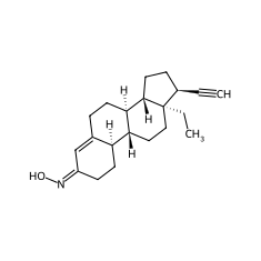 C#C[C@@H]1CC[C@H]2[C@@H]3CCC4=C/C(=N\O)CC[C@@H]4[C@H]3CC[C@]12CC